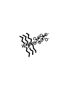 CCC[CH2][W+2][CH2]CCC.CCC[CH2][W+2][CH2]CCC.CCC[CH2][W+2][CH2]CCC.O=P([O-])([O-])[O-].O=P([O-])([O-])[O-]